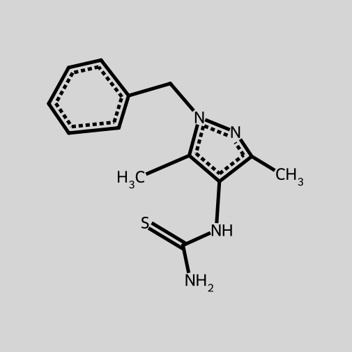 Cc1nn(Cc2ccccc2)c(C)c1NC(N)=S